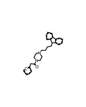 O=C(Cc1ccccc1)N1CCN(CCCCC2c3ccccc3-c3ccccc32)CC1